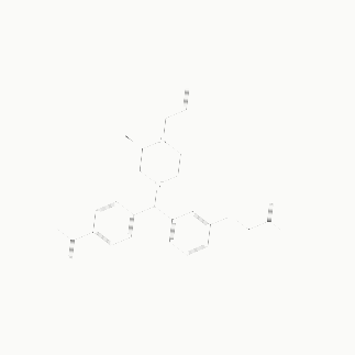 C=CCN1C[C@H](C)N(C(c2ccc(C(C)=O)cc2)c2cccc(OCC(=O)O)c2)C[C@H]1C